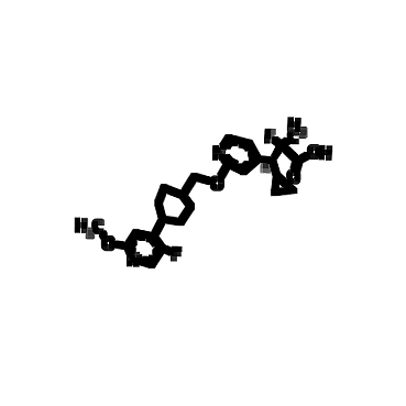 COc1cc(C2CCC(COc3cc([C@H](C4CC4)C(C)(F)C(=O)O)ccn3)CC2)c(F)cn1